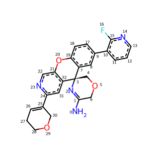 NC1=N[C@@]2(COC1)c1cc(-c3cccnc3F)ccc1Oc1cnc(C3=CCCOC3)cc12